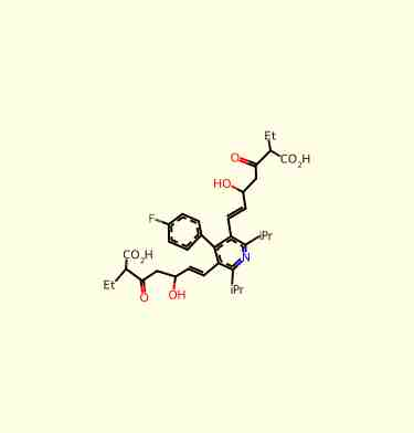 CCC(C(=O)O)C(=O)CC(O)C=Cc1c(C(C)C)nc(C(C)C)c(C=CC(O)CC(=O)C(CC)C(=O)O)c1-c1ccc(F)cc1